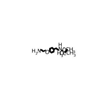 CC(C)(C)OC(=O)NCCc1ccc(OCCCN)cc1